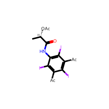 CC(=O)O[C@@H](C)C(=O)Nc1c(I)c(C(C)=O)c(I)c(C(C)=O)c1I